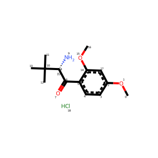 COc1ccc(C(=O)[C@@H](N)C(C)(C)C)c(OC)c1.Cl